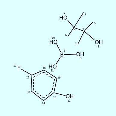 CC(C)(O)C(C)(C)O.OB(O)O.Oc1ccc(F)cc1